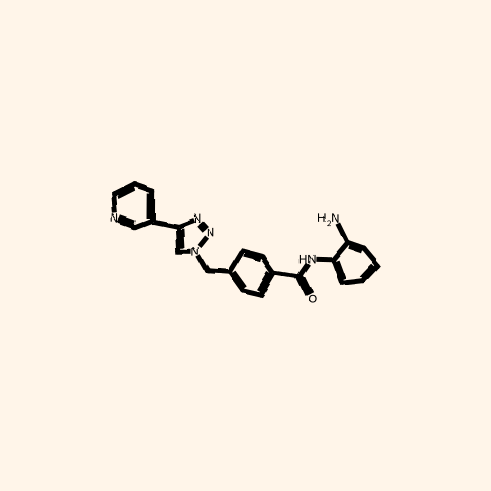 Nc1ccccc1NC(=O)c1ccc(Cn2cc(-c3cccnc3)nn2)cc1